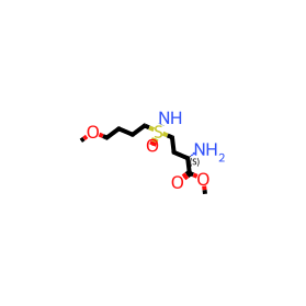 COCCCCS(=N)(=O)CC[C@H](N)C(=O)OC